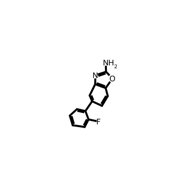 Nc1nc2cc(-c3ccccc3F)ccc2o1